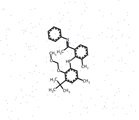 COCOc1c(Pc2c(C)cccc2/C(C)=N/c2ccccc2)cc(C)cc1C(C)(C)C